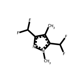 Cc1c(C(F)F)nn(C)c1C(F)F